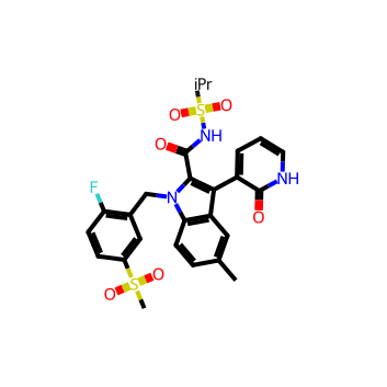 Cc1ccc2c(c1)c(-c1ccc[nH]c1=O)c(C(=O)NS(=O)(=O)C(C)C)n2Cc1cc(S(C)(=O)=O)ccc1F